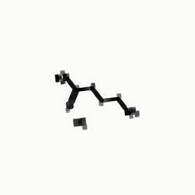 Cl.NCCCC(N)=O